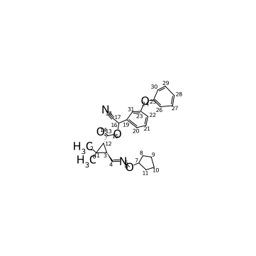 CC1(C)[C@H](C=NOC2CCCC2)[C@H]1C(=O)OC(C#N)c1cccc(Oc2ccccc2)c1